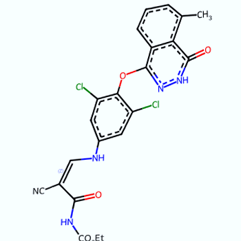 CCOC(=O)NC(=O)/C(C#N)=C\Nc1cc(Cl)c(Oc2n[nH]c(=O)c3c(C)cccc23)c(Cl)c1